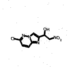 O=[N+]([O-])CC(O)c1cn2nc(Cl)ccc2n1